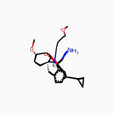 COCCN1C(=O)[C@]2(N=C1N)c1cc(C3CC3)ccc1C[C@]21CC[C@H](OC)CC1